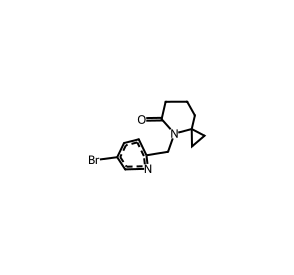 O=C1CCCC2(CC2)N1Cc1ccc(Br)cn1